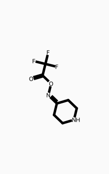 O=C(ON=C1CCNCC1)C(F)(F)F